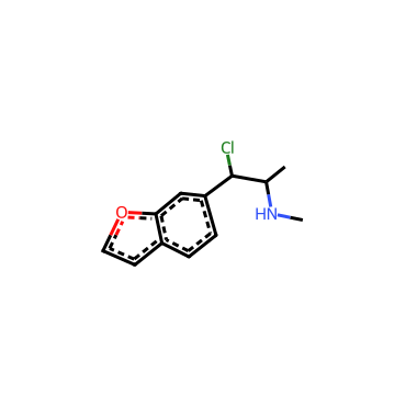 CNC(C)C(Cl)c1ccc2ccoc2c1